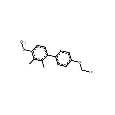 CCOc1ccc(-c2ccc(OC)c(F)c2F)nc1